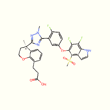 Cn1nc([C@]2(C)CCOc3c(CCC(=O)O)cccc32)nc1-c1cc(Oc2c(F)c(F)c3[nH]ccc3c2S(C)(=O)=O)ccc1F